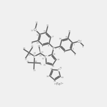 COc1c(C)cc(P(c2cc(C)c(OC)c(C)c2)c2ccc[c-]2[C@H](C)P(C(C)(C)C)C(C)(C)C)cc1C.[Fe+2].c1cc[cH-]c1